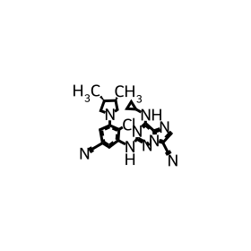 C[C@@H]1CN(c2cc(C#N)cc(Nc3nc(NC4CC4)c4ncc(C#N)n4n3)c2Cl)C[C@@H]1C